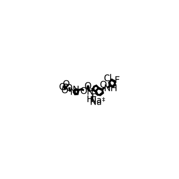 O=C(N[C@H]1CCc2c(C(=O)Nc3ccc(F)c(Cl)c3)ccc(F)c21)OCc1ccn(COP(=O)([O-])[O-])n1.[Na+].[Na+]